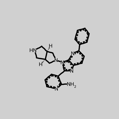 Nc1ncccc1-c1nc2ccc(-c3ccccc3)nc2n1N1C[C@H]2CNC[C@H]2C1